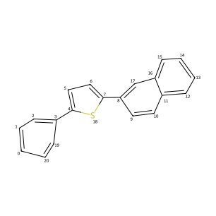 c1ccc(-c2ccc(-c3ccc4ccccc4c3)s2)cc1